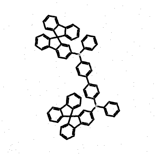 c1ccc(N(c2ccc(-c3ccc(N(c4ccccc4)c4ccc5c(c4)C4(c6ccccc6-c6ccccc64)c4ccccc4-5)cc3)cc2)c2ccc3c(c2)C2(c4ccccc4-c4ccccc42)c2ccccc2-3)cc1